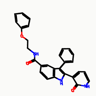 O=C(NCCOc1ccccc1)c1ccc2[nH]c(-c3ccc[nH]c3=O)c(-c3ccccc3)c2c1